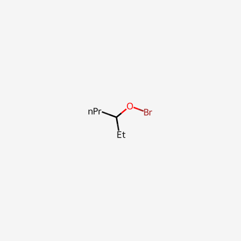 CCCC(CC)OBr